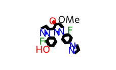 COc1cn(-c2ccc(-n3cccn3)cc2F)nc(-c2ccnn2-c2cccc(O)c2F)c1=O